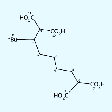 [CH2]CCCC(CCCCC(C(=O)O)C(=O)O)C(C(=O)O)C(=O)O